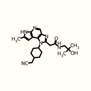 Cc1cc2c(ncc3nc(CC(=O)NCC(C)(C)O)n(C4CCC(CC#N)CC4)c32)[nH]1